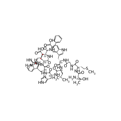 CSCC[C@H](NC(=O)[C@@H](N)[C@@H](C)O)C(=O)NCC(=O)N[C@@H](Cc1c[nH]c2ccccc12)C(=O)N[C@@H](CC(C)C)C(=O)N[C@@H](Cc1c[nH]cn1)C(=O)N[C@@H](Cc1c[nH]c2ccccc12)C(=O)N[C@@H](CCC(=O)O)C(=O)N[C@@H](CCCNC(=N)N)C(=O)N[C@@H](Cc1ccccc1)C(=O)O